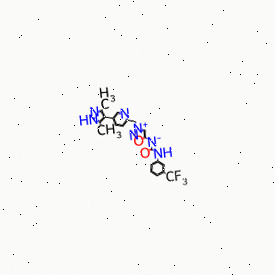 Cc1n[nH]c(C)c1-c1ccc(C[n+]2cc([N-]C(=O)Nc3cccc(C(F)(F)F)c3)on2)nc1